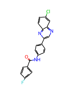 O=C(Nc1ccc(-c2cnc3cc(Cl)ccc3n2)cc1)c1ccc(F)cc1